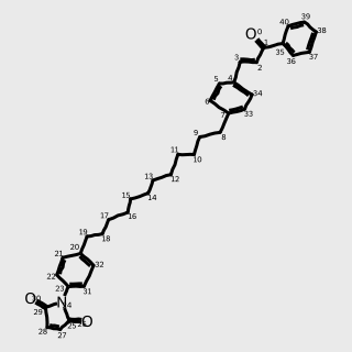 O=C(C=Cc1ccc(CCCCCCCCCCCCc2ccc(N3C(=O)C=CC3=O)cc2)cc1)c1ccccc1